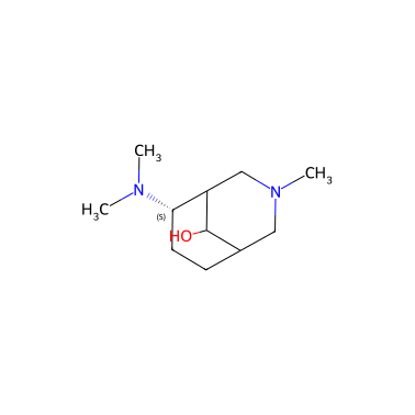 CN1CC2CC[C@H](N(C)C)C(C1)C2O